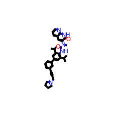 CC(C)c1cc(-c2cccc(C#CCN3CCCC3)c2)cc(C(C)C)c1NC(=O)N(C)c1cc2cccnc2[nH]c1=O